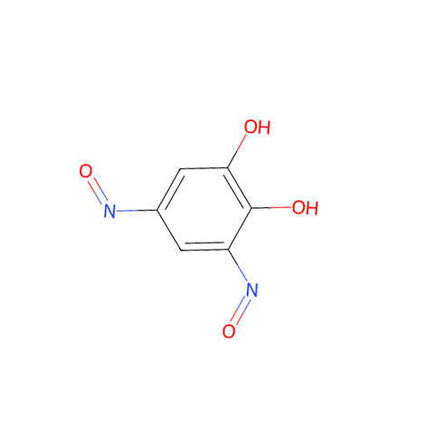 O=Nc1cc(O)c(O)c(N=O)c1